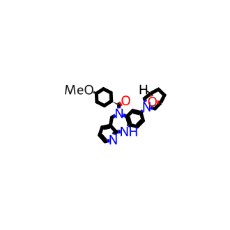 CO[C@H]1CC[C@H](C(=O)N2Cc3cccnc3Nc3ccc(N4CC5CC[C@H](C4)O5)cc32)CC1